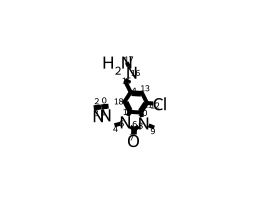 C#N.C#N.Cn1c(=O)n(C)c2c(Cl)cc(C=NN)cc21